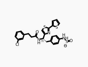 O=C(CCc1cccc(Cl)c1)N[C@@H](Cc1ccc(N[SH](=O)=O)cc1)c1csc(-c2cccs2)n1